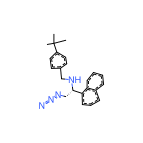 CC(C)(C)c1ccc(CN[C@@H](CN=[N+]=[N-])c2cccc3ccccc23)cc1